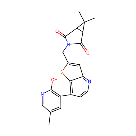 Cc1cnc(O)c(-c2ccnc3cc(CN4C(=O)C5C(C4=O)C5(C)C)sc23)c1